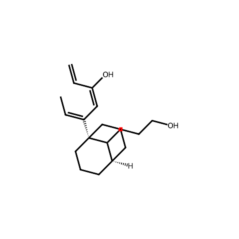 C=C/C(O)=C\C(=C/C)[C@]12CCC[C@H](CCC1)C2CCCO